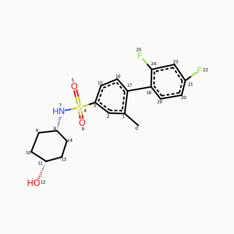 Cc1cc(S(=O)(=O)N[C@H]2CC[C@@H](O)CC2)ccc1-c1ccc(F)cc1F